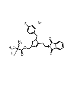 CC(C)(C)C(=O)OC[n+]1cc(CCN2C(=O)c3ccccc3C2=O)n(Cc2ccc(F)cc2)c1.[Br-]